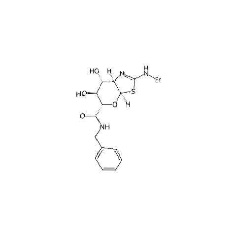 CCNC1=N[C@@H]2[C@@H](O)[C@H](O)[C@@H](C(=O)NCc3ccccc3)O[C@@H]2S1